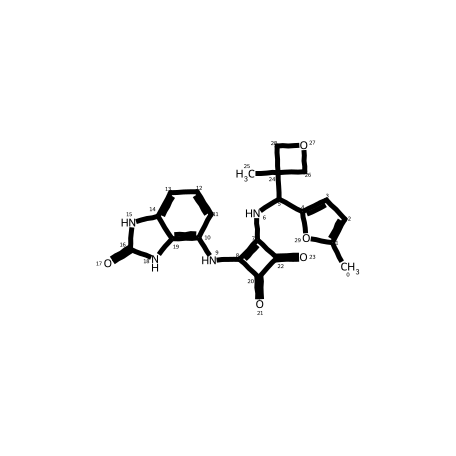 Cc1ccc(C(Nc2c(Nc3cccc4[nH]c(=O)[nH]c34)c(=O)c2=O)C2(C)COC2)o1